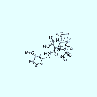 COc1cc(CNC(=O)c2nc3n(c(=O)c2O)CC2CCC3(N(C)C(=O)C(=O)N(C)C)CC2)ccc1F